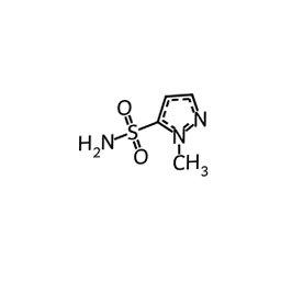 Cn1nccc1S(N)(=O)=O